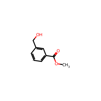 COC(=O)c1c[c]cc(CO)c1